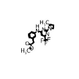 COC(=O)Cc1cccc(Nc2cc(C(F)(F)F)nc(N3CC[C@@H]3C)n2)c1